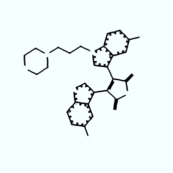 Nc1ccc2[nH]cc(C3=C(c4cn(CCCN5CCOCC5)c5ccc(N)cc45)C(=O)NC3=O)c2c1